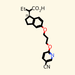 CCC(C(=O)O)[C@@H]1CCc2cc(OCCCOc3ccc(C#N)cn3)ccc21